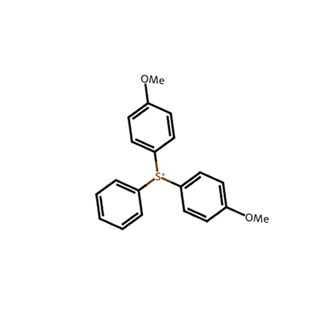 COc1ccc([S+](c2ccccc2)c2ccc(OC)cc2)cc1